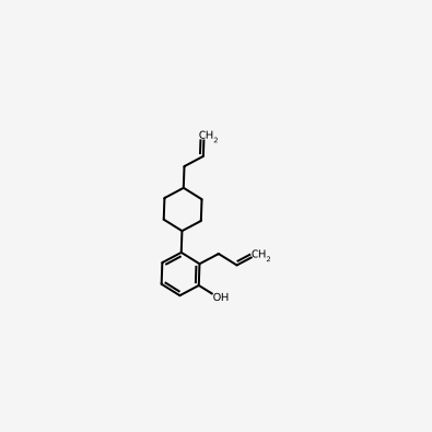 C=CCc1c(O)cccc1C1CCC(CC=C)CC1